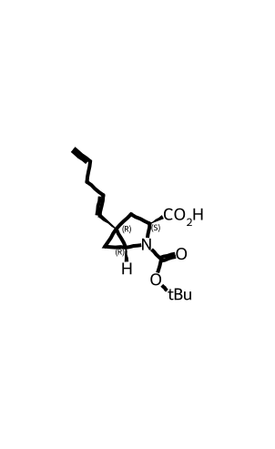 C=CCC=C[C@@]12C[C@@H](C(=O)O)N(C(=O)OC(C)(C)C)[C@@H]1C2